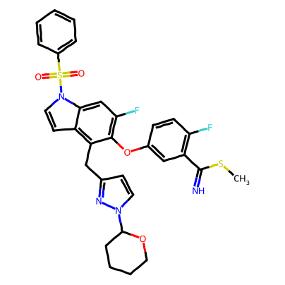 CSC(=N)c1cc(Oc2c(F)cc3c(ccn3S(=O)(=O)c3ccccc3)c2Cc2ccn(C3CCCCO3)n2)ccc1F